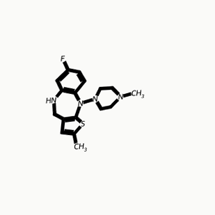 Cc1cc2c(s1)N(N1CCN(C)CC1)c1ccc(F)cc1NC2